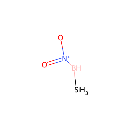 O=[N+]([O-])B[SiH3]